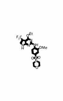 CCOc1nc(Nc2ccc(S(=O)(=O)N3CCOCC3)cc2OC)nc2[nH]cc(C(F)(F)F)c12